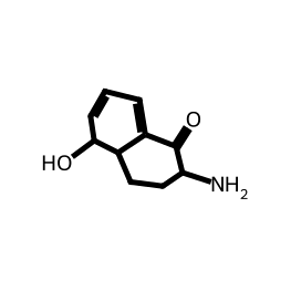 NC1CCC2C(=CC=CC2O)C1=O